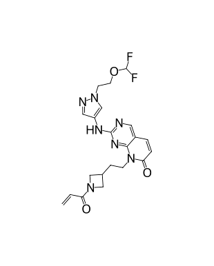 C=CC(=O)N1CC(CCn2c(=O)ccc3cnc(Nc4cnn(CCOC(F)F)c4)nc32)C1